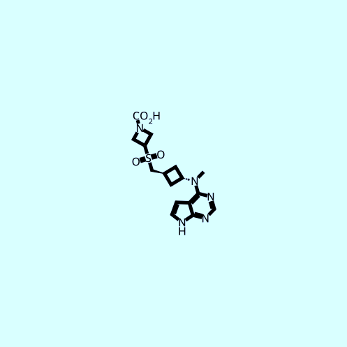 CN(c1ncnc2[nH]ccc12)[C@H]1C[C@H](CS(=O)(=O)C2CN(C(=O)O)C2)C1